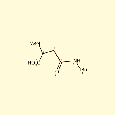 CNC(CC(=O)NC(C)(C)C)C(=O)O